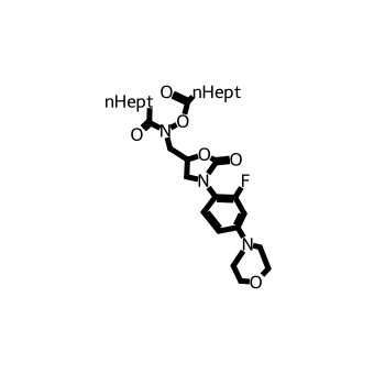 CCCCCCCC(=O)ON(CC1CN(c2ccc(N3CCOCC3)cc2F)C(=O)O1)C(=O)CCCCCCC